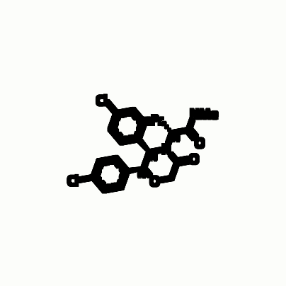 CCC[C@H](C(=O)NC)N1C(=O)CO[C@@H](c2ccc(Cl)cc2)[C@H]1c1ccc(Cl)cc1